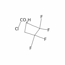 FC1(F)CCC1(F)F.O=C(O)Cl